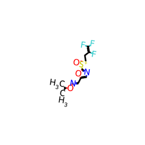 CC(C)ON=Cc1cnc([S+]([O-])CCC(F)=C(F)F)o1